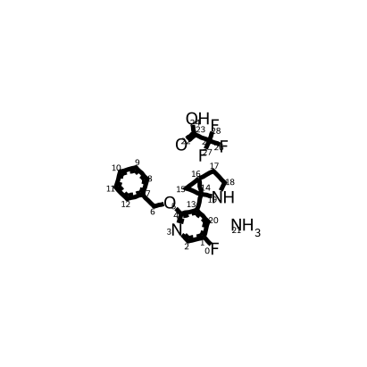 Fc1cnc(OCc2ccccc2)c(C23CC2CCN3)c1.N.O=C(O)C(F)(F)F